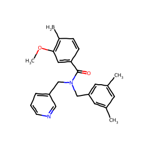 Bc1ccc(C(=O)N(Cc2cccnc2)Cc2cc(C)cc(C)c2)cc1OC